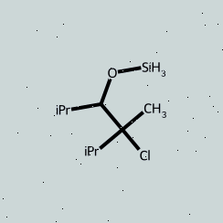 CC(C)C(O[SiH3])C(C)(Cl)C(C)C